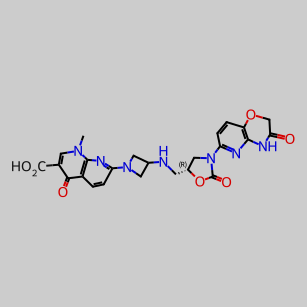 Cn1cc(C(=O)O)c(=O)c2ccc(N3CC(NC[C@@H]4CN(c5ccc6c(n5)NC(=O)CO6)C(=O)O4)C3)nc21